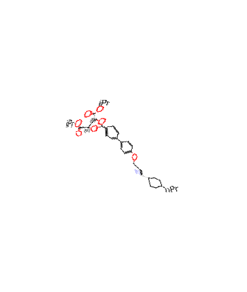 CCC[C@H]1CC[C@H](/C=C/COc2ccc(-c3ccc(C4O[C@@H](C(=O)OC(C)C)[C@H](C(=O)OC(C)C)O4)cc3)cc2)CC1